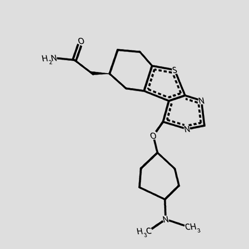 CN(C)C1CCC(Oc2ncnc3sc4c(c23)C[C@@H](CC(N)=O)CC4)CC1